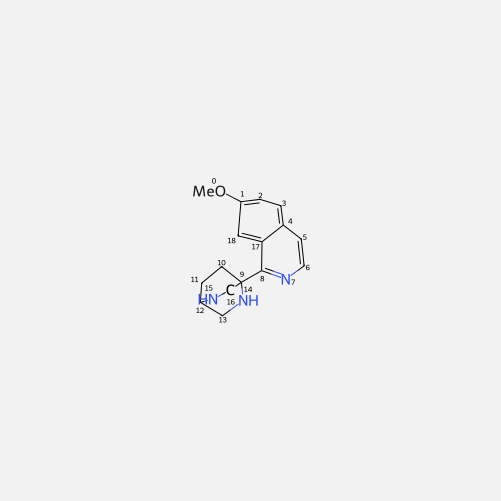 COc1ccc2ccnc(C34CCC(CN3)NC4)c2c1